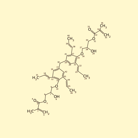 C=C(C)C(=O)OCC(O)COc1c(C=CC)cc(Cc2cc(C=CC)c(OCC(O)COC(=O)C(=C)C)c(C=CC)c2)cc1C=CC